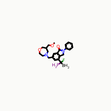 BC(F)(P)c1cc(CN2CCOCC(COC)C2)cc2c1CN(c1ccccc1)C2=O